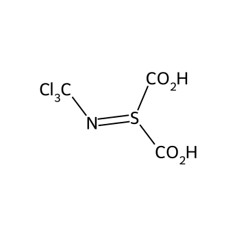 O=C(O)S(=NC(Cl)(Cl)Cl)C(=O)O